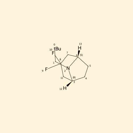 CC(C)(C)CN1[C@@H]2CC[C@H]1CC(F)(F)C2